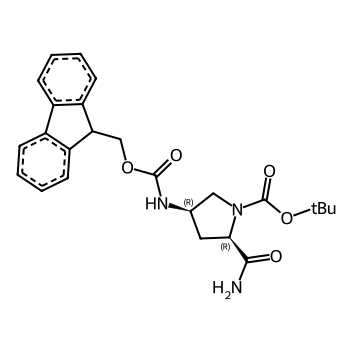 CC(C)(C)OC(=O)N1C[C@H](NC(=O)OCC2c3ccccc3-c3ccccc32)C[C@@H]1C(N)=O